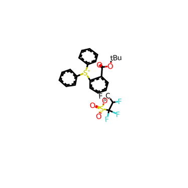 CC(C)(C)OC(=O)c1ccccc1[S+](c1ccccc1)c1ccccc1.O=S(=O)([O-])C(F)(F)C(F)C(F)(F)F